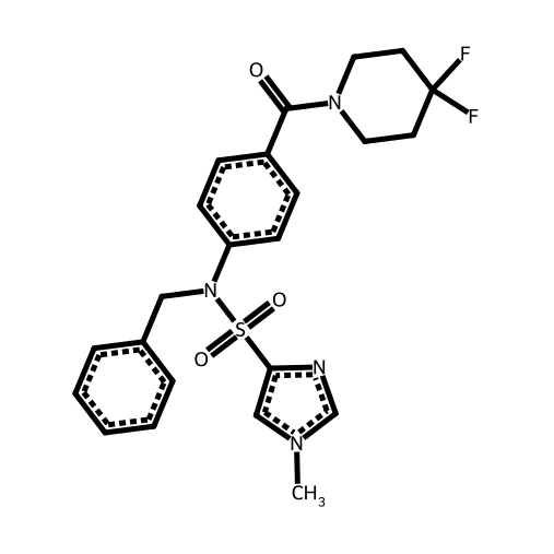 Cn1cnc(S(=O)(=O)N(Cc2ccccc2)c2ccc(C(=O)N3CCC(F)(F)CC3)cc2)c1